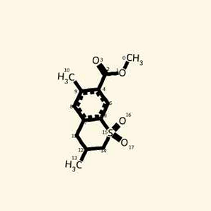 COC(=O)c1cc2c(cc1C)CC(C)CS2(=O)=O